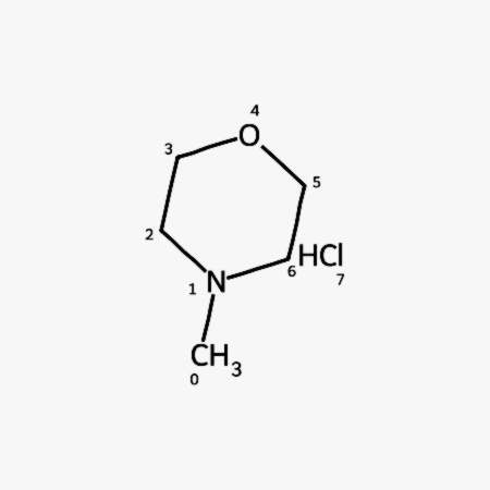 CN1CCOCC1.Cl